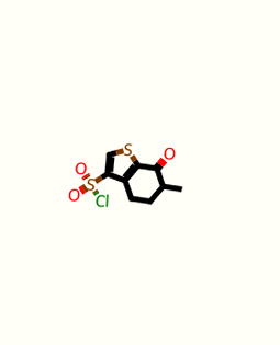 CC1CCc2c(S(=O)(=O)Cl)csc2C1=O